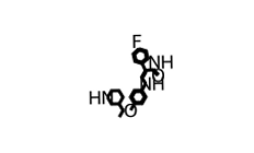 CC(Oc1ccc(NC=C2C(=O)Nc3cc(F)ccc32)cc1)C1CCCNC1